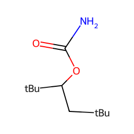 CC(C)(C)CC(OC(N)=O)C(C)(C)C